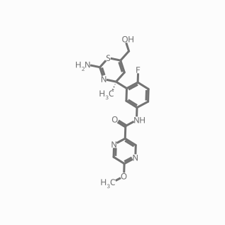 COc1cnc(C(=O)Nc2ccc(F)c([C@]3(C)C=C(CO)SC(N)=N3)c2)cn1